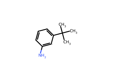 CC(C)(C)c1[c]c(N)ccc1